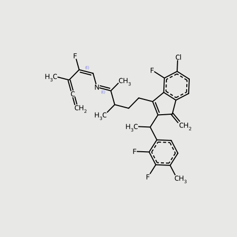 C=C=C(C)/C(F)=C\N=C(/C)C(C)CCC1=C(C(C)c2ccc(C)c(F)c2F)C(=C)c2ccc(Cl)c(F)c21